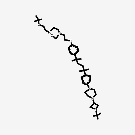 CC(C)(C)OCCN1CCN(CCOc2ccc(C(C)(C)CCC(C)(C)c3ccc(N4CCN(C5CN(C(C)(C)C)C5)CC4)cc3)cc2)CC1